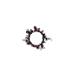 CCCC[C@H]1C(=O)N(C)[C@@H](CCCC)C(=O)N[C@@H](CC(C)C)C(=O)N[C@H](C(=O)NCC(N)=O)CSCC(=O)N[C@@H](Cc2ccc(O)cc2)C(=O)N(C)[C@@H](C)C(=O)N[C@@H](CC(N)=O)C(=O)N2CCC[C@H]2C(=O)N[C@@H](Cc2cnc[nH]2)C(=O)N[C@@H](CCC(=O)O)C(=O)N(CCOC)CC(=O)N[C@@H](Cc2c[nH]c3ccccc23)C(=O)N[C@@H](CCN)C(=O)N[C@@H](Cc2c[nH]c3ccccc23)C(=O)N1C